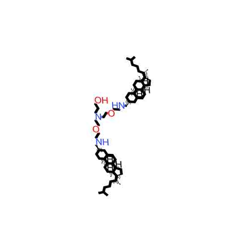 CC(C)CCC[C@@H](C)[C@@H]1CC[C@H]2[C@@H]3CC=C4C[C@H](CNCCOCCN(CCCO)CCOCCNC[C@@H]5CC[C@]6(C)C(=CC[C@@H]7[C@H]8CC[C@H]([C@@H](C)CCCC(C)C)[C@]8(C)CC[C@H]76)C5)CC[C@]4(C)[C@H]3CC[C@@]21C